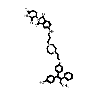 CC/C(=C(\c1ccc(O)cc1)c1ccc(OCCN2CCCN(CCCNc3ccc4c(c3)C(=O)N(C3CCC(=O)NC3=O)C4=O)CC2)cc1)c1ccccc1